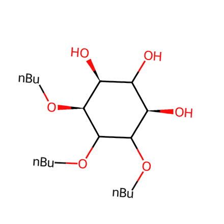 CCCCOC1C(OCCCC)[C@@H](OCCCC)[C@@H](O)C(O)[C@H]1O